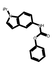 CC(C)n1ccc2cc(NC(=O)Oc3ccccc3)ccc21